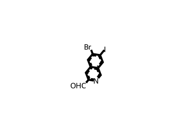 O=Cc1cc2cc(Br)c(I)cc2cn1